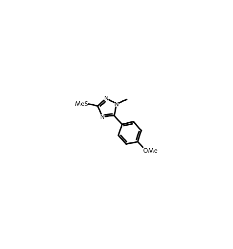 COc1ccc(-c2nc(SC)nn2C)cc1